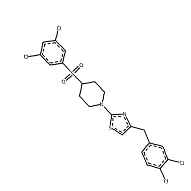 O=S(=O)(c1cc(Cl)cc(Cl)c1)C1CCN(c2nc(Cc3ccc(Cl)c(Cl)c3)cs2)CC1